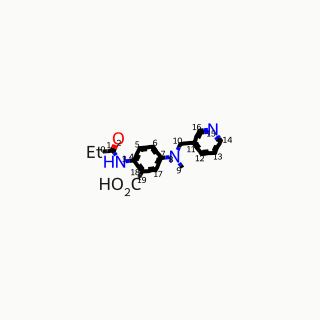 CCC(=O)Nc1ccc(N(C)Cc2cccnc2)cc1C(=O)O